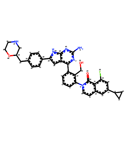 Nc1nc(-c2cccc(-n3ccc4cc(C5CC5)cc(F)c4c3=O)c2CO)c2cc(-c3ccc(CC4CNCCO4)cc3)[nH]c2n1